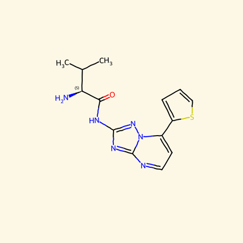 CC(C)[C@H](N)C(=O)Nc1nc2nccc(-c3cccs3)n2n1